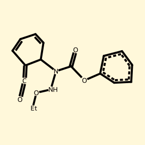 CCONN(C(=O)Oc1ccccc1)C1C=CC=CC1=C=O